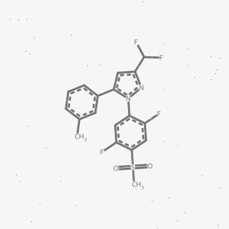 Cc1cccc(-c2cc(C(F)F)nn2-c2cc(F)c(S(C)(=O)=O)cc2F)c1